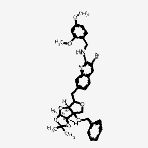 COc1ccc(CNc2nc3cc(CC4OCC5(OCc6ccccc6)[C@@H]4O[C@@H]4OC(C)(C)O[C@@H]45)ccc3cc2Br)c(OC)c1